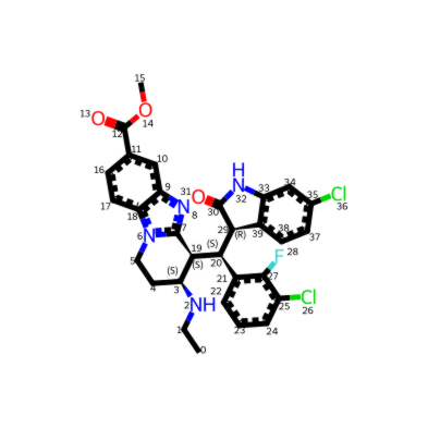 CCN[C@H]1CCn2c(nc3cc(C(=O)OC)ccc32)[C@H]1[C@H](c1cccc(Cl)c1F)[C@H]1C(=O)Nc2cc(Cl)ccc21